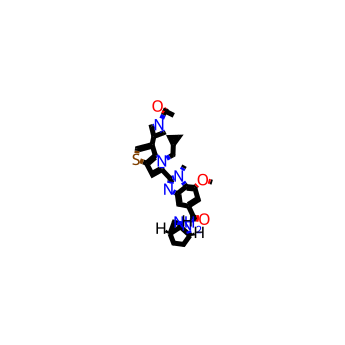 COc1cc(C(=O)N2C[C@H]3CC[C@@H]2[C@@H]3N)cc2nc(-c3cc4scc(C5CN(C(C)=O)C5)c4n3CC3CC3)n(C)c12